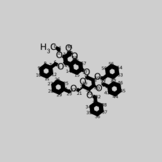 CCOc1c(OCc2ccccc2)c2ccc(O[C@@H]3O[C@H](COCc4ccccc4)[C@@H](OCc4ccccc4)[C@H](OCc4ccccc4)[C@H]3OCc3ccccc3)cc2oc1=O